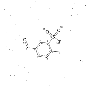 Cc1ccc(C=O)cc1S(=O)(=O)F